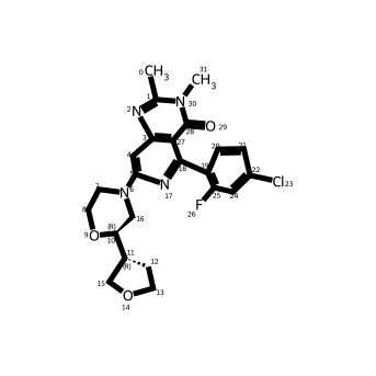 Cc1nc2cc(N3CCO[C@H]([C@@H]4CCOC4)C3)nc(-c3ccc(Cl)cc3F)c2c(=O)n1C